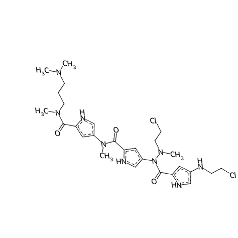 CN(C)CCCN(C)C(=O)c1cc(N(C)C(=O)c2cc(N(C(=O)c3cc(NCCCl)c[nH]3)N(C)CCCl)c[nH]2)c[nH]1